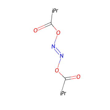 CC(C)C(=O)ON=NOC(=O)C(C)C